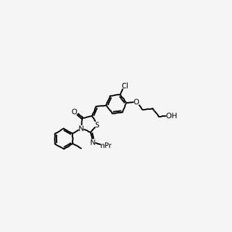 CCC/N=C1\S/C(=C\c2ccc(OCCCO)c(Cl)c2)C(=O)N1c1ccccc1C